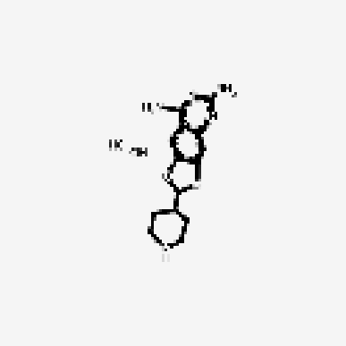 Cl.Cl.Nc1nc(N)c2cc3c(cc2n1)OC(C1CCNCC1)O3